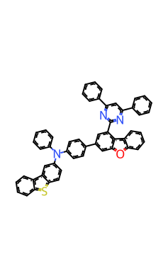 c1ccc(-c2cc(-c3ccccc3)nc(-c3cc(-c4ccc(N(c5ccccc5)c5ccc6sc7ccccc7c6c5)cc4)cc4oc5ccccc5c34)n2)cc1